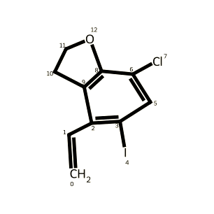 C=Cc1c(I)cc(Cl)c2c1CCO2